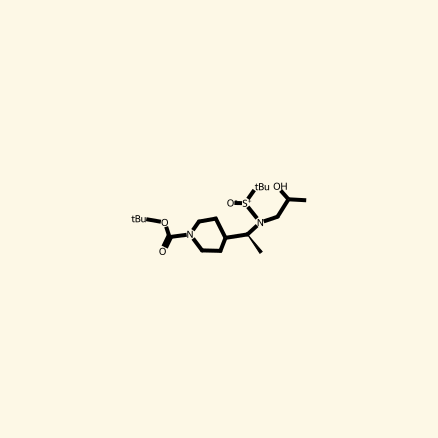 CC(O)CN([C@@H](C)C1CCN(C(=O)OC(C)(C)C)CC1)[S+]([O-])C(C)(C)C